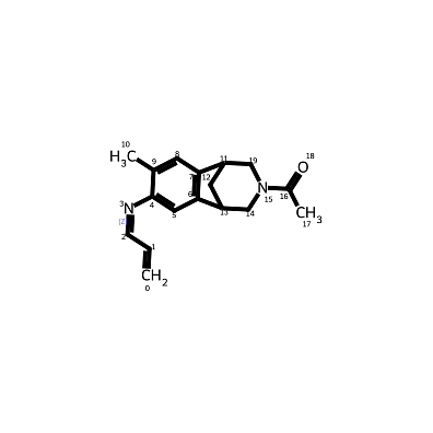 C=C/C=N\c1cc2c(cc1C)C1CC2CN(C(C)=O)C1